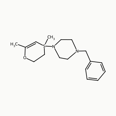 CC1=CS(C)(N2CCN(Cc3ccccc3)CC2)CCO1